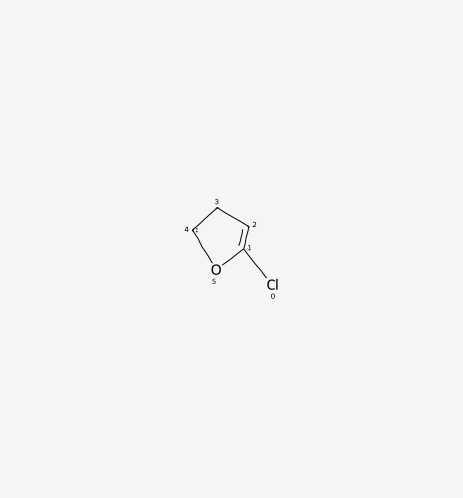 ClC1=CC[C]O1